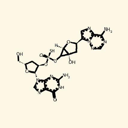 Nc1nc2c(ncn2[C@@H]2O[C@H](CO)C[C@H]2OP(=O)(S)OC2[C@H]3O[C@@H](c4cnc5c(N)ncnn45)C[C@@]23O)c(=O)[nH]1